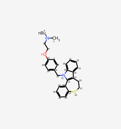 CCCCN(C)CCOc1ccc(Cn2c3c(c4ccccc42)CCSc2ccccc2-3)cc1